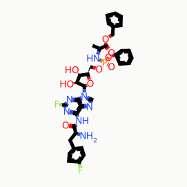 CC(NP(=O)(OC[C@@H]1OC(n2cnc3c(NC(=O)C(N)Cc4ccc(F)cc4)nc(F)nc32)[C@@H](O)[C@@H]1O)Oc1ccccc1)C(=O)OCc1ccccc1